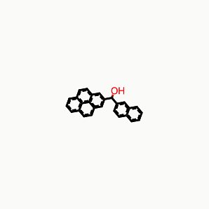 OC(c1ccc2ccccc2c1)c1cc2ccc3cccc4ccc(c1)c2c34